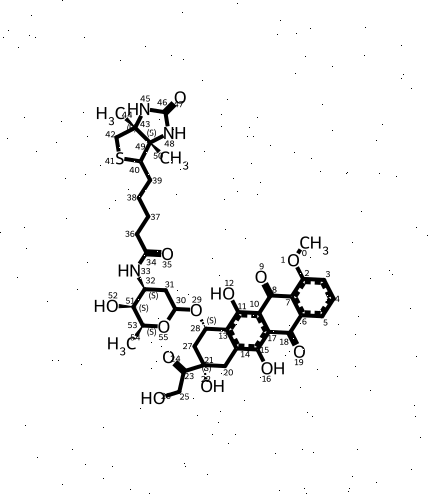 COc1cccc2c1C(=O)c1c(O)c3c(c(O)c1C2=O)C[C@@](O)(C(=O)CO)C[C@@H]3OC1C[C@H](NC(=O)CCCCC2SC[C@]3(C)NC(=O)N[C@]23C)[C@H](O)[C@H](C)O1